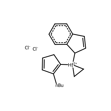 CCCCC1=[C]([Hf+2]2([CH]3C=Cc4ccccc43)[CH2][CH2]2)CC=C1.[Cl-].[Cl-]